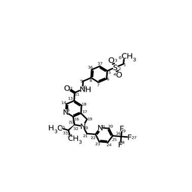 CCS(=O)(=O)c1ccc(CNC(=O)c2cnc3c(c2)CN(Cc2ccc(C(F)(F)F)cn2)[C@H]3C(C)C)cc1